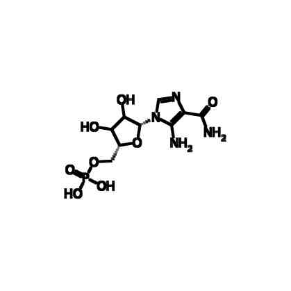 NC(=O)c1ncn([C@@H]2O[C@H](COP(=O)(O)O)C(O)C2O)c1N